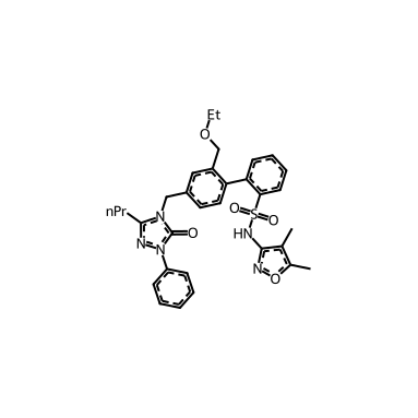 CCCc1nn(-c2ccccc2)c(=O)n1Cc1ccc(-c2ccccc2S(=O)(=O)Nc2noc(C)c2C)c(COCC)c1